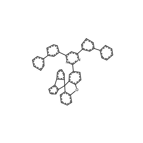 c1ccc(-c2cccc(-c3cc(-c4cccc(-c5ccccc5)c4)nc(-c4ccc5c(c4)C4(c6ccccc6O5)c5ccccc5-c5ccccc54)n3)c2)cc1